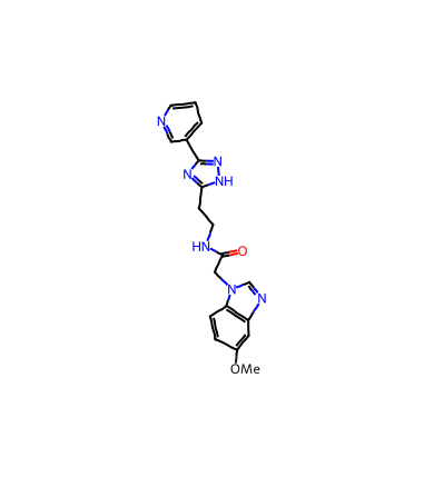 COc1ccc2c(c1)ncn2CC(=O)NCCc1nc(-c2cccnc2)n[nH]1